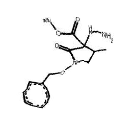 CCCCOC(=O)C1(NN)C(=O)N(OCc2ccccc2)CC1C